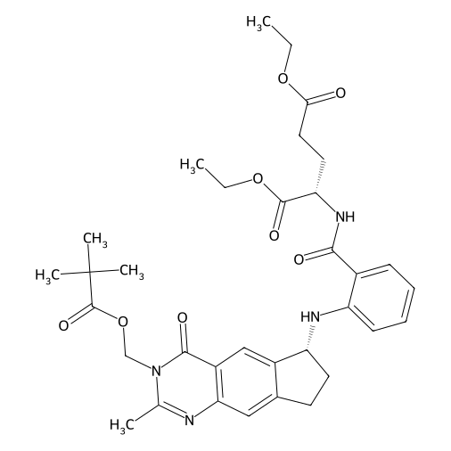 CCOC(=O)CC[C@H](NC(=O)c1ccccc1N[C@@H]1CCc2cc3nc(C)n(COC(=O)C(C)(C)C)c(=O)c3cc21)C(=O)OCC